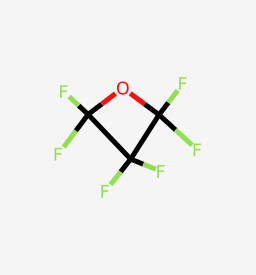 FC1(F)OC(F)(F)C1(F)F